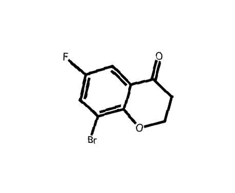 O=C1CCOc2c(Br)cc(F)cc21